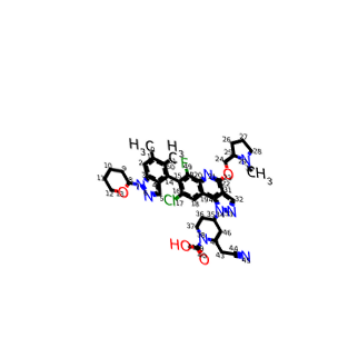 Cc1cc2c(cnn2C2CCCCO2)c(-c2c(Cl)cc3c(nc(OCC4CCCN4C)c4cnn(C5CCN(C(=O)O)C(CC#N)C5)c43)c2F)c1C